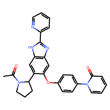 CC(=O)N1CCCC1c1cc2[nH]c(-c3ccccn3)nc2cc1Oc1ccc(-n2ccccc2=O)cc1